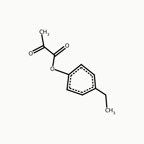 CCc1ccc(OC(=O)C(C)=O)cc1